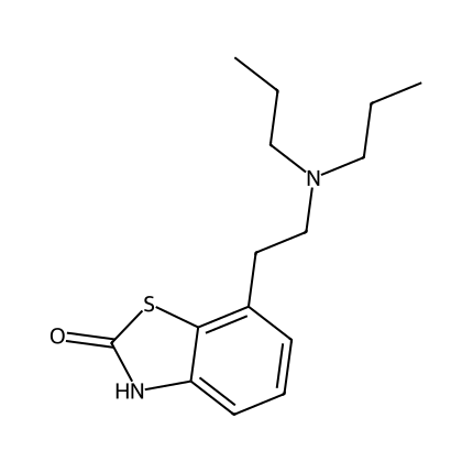 CCCN(CCC)CCc1cccc2[nH]c(=O)sc12